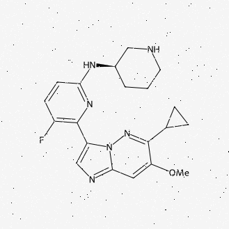 COc1cc2ncc(-c3nc(N[C@@H]4CCCNC4)ccc3F)n2nc1C1CC1